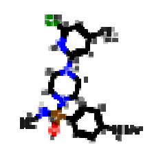 CC(=O)Nc1ccc(S(=O)(=NC#N)N2CCN(c3cc(C(F)(F)F)cc(Cl)n3)CC2)cc1